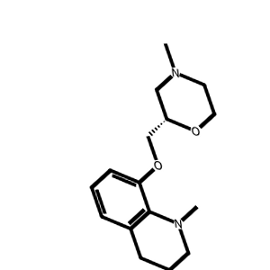 CN1CCO[C@H](COc2cccc3c2N(C)CCC3)C1